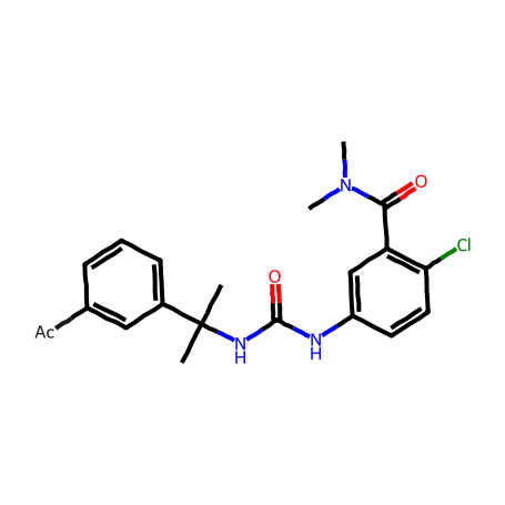 CC(=O)c1cccc(C(C)(C)NC(=O)Nc2ccc(Cl)c(C(=O)N(C)C)c2)c1